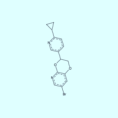 Brc1cnc2c(c1)OCC(c1ccc(C3CC3)nc1)O2